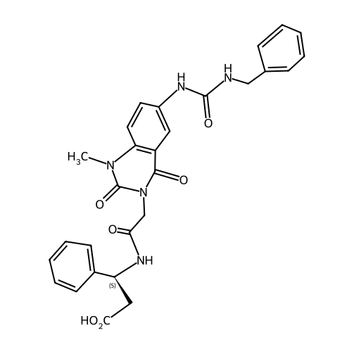 Cn1c(=O)n(CC(=O)N[C@@H](CC(=O)O)c2ccccc2)c(=O)c2cc(NC(=O)NCc3ccccc3)ccc21